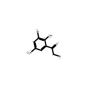 O=C(CBr)c1cc([N+](=O)[O-])cc(Br)c1O